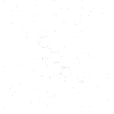 CN1CCN(c2c(F)cc(N3C[C@H](CO)OC3=O)cc2F)C=N1